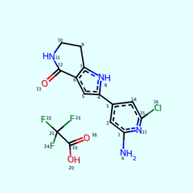 Nc1cc(-c2cc3c([nH]2)CCNC3=O)cc(Cl)n1.O=C(O)C(F)(F)F